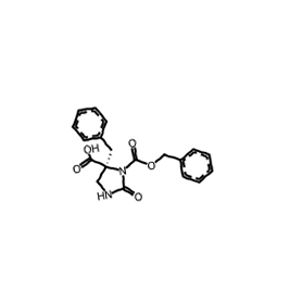 O=C1NC[C@@](Cc2ccccc2)(C(=O)O)N1C(=O)OCc1ccccc1